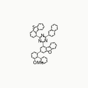 COc1cccc(-c2cc(-c3nc(-c4ccc5ccccc5c4)nc(-c4cccc5sc6ccccc6c45)n3)c3c(c2)oc2ccccc23)c1-c1ccccc1